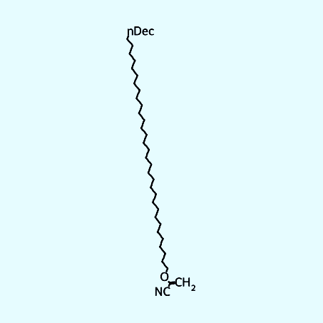 C=C(C#N)OCCCCCCCCCCCCCCCCCCCCCCCCCCCCCCCCCCCCCCCCCC